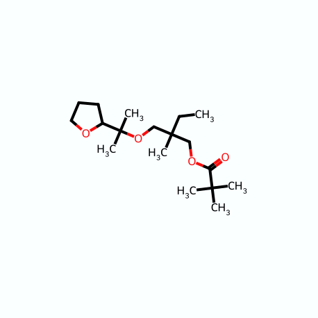 CCC(C)(COC(=O)C(C)(C)C)COC(C)(C)C1CCCO1